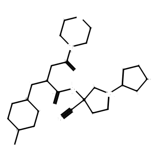 CC1CCC(CC(CC(=O)N2CCOCC2)C(=O)NC2(C#N)CCN(C3CCCC3)C2)CC1